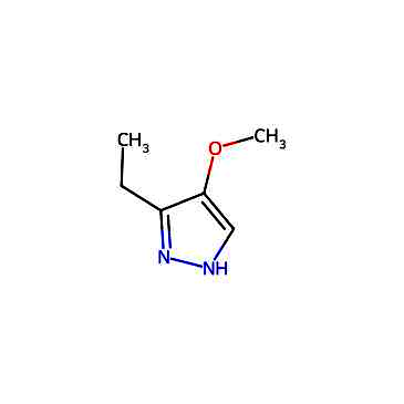 CCc1n[nH]cc1OC